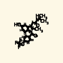 Cc1c(CC(=O)NC(C)C)c2cc(O)ccc2n1C(=O)c1ccc(OC(F)(F)F)cc1